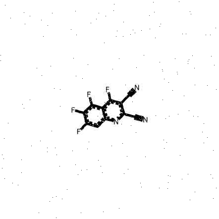 N#Cc1nc2cc(F)c(F)c(F)c2c(F)c1C#N